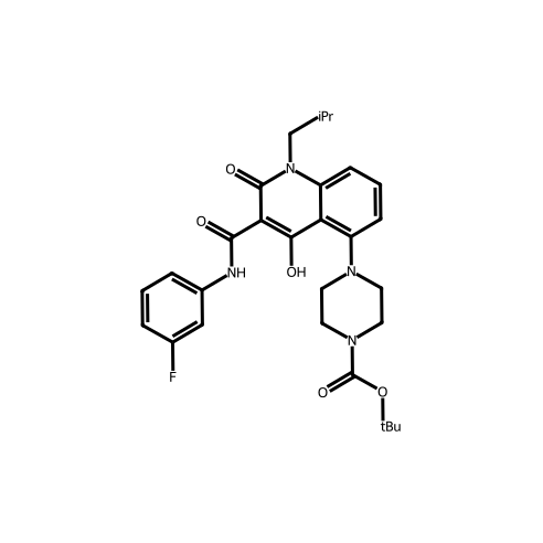 CC(C)Cn1c(=O)c(C(=O)Nc2cccc(F)c2)c(O)c2c(N3CCN(C(=O)OC(C)(C)C)CC3)cccc21